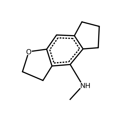 CNc1c2c(cc3c1CCO3)CCC2